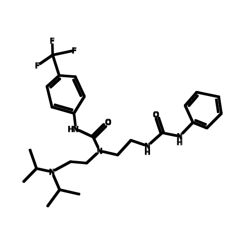 CC(C)N(CCN(CCNC(=O)Nc1ccccc1)C(=O)Nc1ccc(C(F)(F)F)cc1)C(C)C